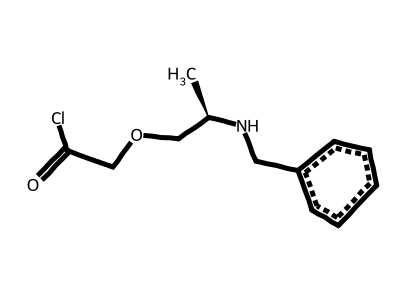 C[C@H](COCC(=O)Cl)NCc1ccccc1